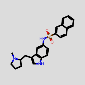 CN1CCCC1Cc1c[nH]c2ccc(NS(=O)(=O)c3ccc4ccccc4c3)cc12